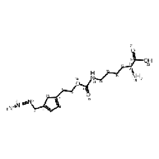 [N-]=[N+]=NCC1=CC=C(CCOC(=O)NCCCC[C@H](N)C(=O)O)C1